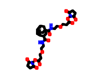 O=C(CCOCCNC(=O)C1CC2(C(=O)NCCOCCC(=O)ON3C(=O)CCC3=O)CC3CCC1C(C3)C2)ON1C(=O)CCC1=O